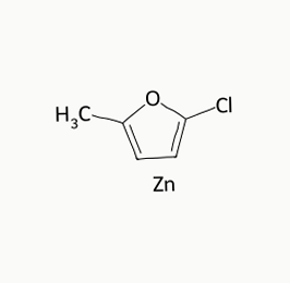 Cc1ccc(Cl)o1.[Zn]